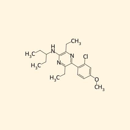 CCc1nc(-c2ccc(OC)cc2Cl)c(CC)nc1NC(CC)CC